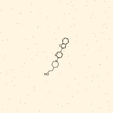 OCCC1CCN(c2ccc(-c3cc4ccccc4o3)cn2)CC1